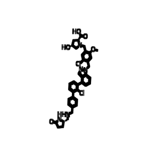 COc1cc(Cn2ncc3c(-c4cccc(-c5ccc(CNC[C@@H]6CCC(=O)N6)cc5)c4Cl)cccc32)c(Cl)cc1CN1C[C@H](O)C[C@H]1C(=O)O